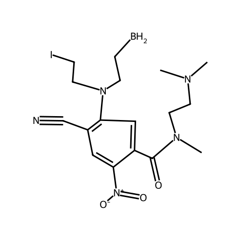 BCCN(CCI)c1cc(C(=O)N(C)CCN(C)C)c([N+](=O)[O-])cc1C#N